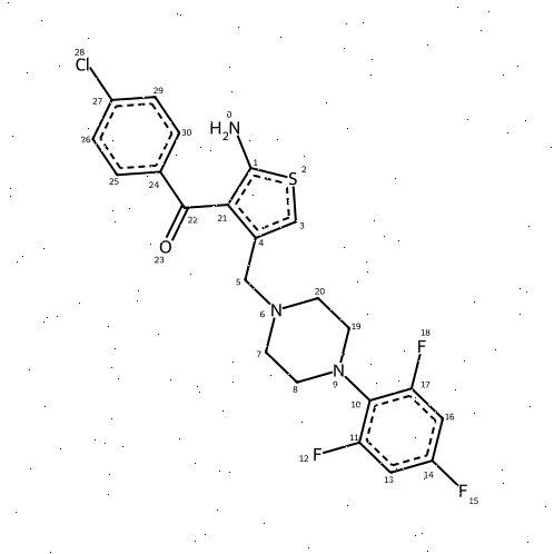 Nc1scc(CN2CCN(c3c(F)cc(F)cc3F)CC2)c1C(=O)c1ccc(Cl)cc1